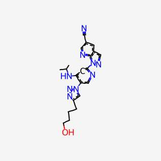 CC(C)Nc1cc(-n2ncc3cc(C#N)cnc32)ncc1-n1cc(CCCCO)nn1